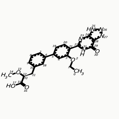 CCOc1cc(-c2cccc(C[C@H](OC)C(=O)O)c2)ccc1-c1nc2[nH]nnc2c(=O)[nH]1